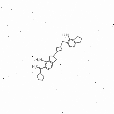 C=C(c1ccc2c(c1N)CC(C1CC(Cc3ccc4c(c3N)CCC4)C1)C2)C1CCCC1